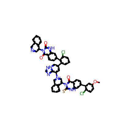 COc1ccc(Cl)c(-c2ccc3c(=O)n(-c4c[n+](-c5cc(-c6cccc(Cl)c6-c6ccc7c(=O)n(-c8cncc9ccccc89)c(=O)[nH]c7c6)cn6ncnc56)cc5ccccc45)c(=S)[nH]c3c2)c1